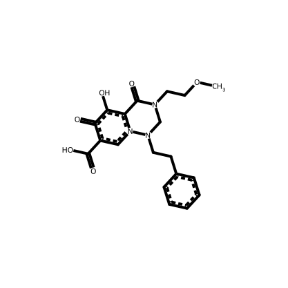 COCCN1CN(CCc2ccccc2)n2cc(C(=O)O)c(=O)c(O)c2C1=O